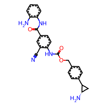 N#Cc1cc(C(=O)Nc2ccccc2N)ccc1NC(=O)OCc1ccc(C2C[C@@H]2N)cc1